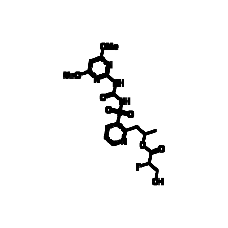 COc1cc(OC)nc(NC(=O)NS(=O)(=O)c2cccnc2CC(C)OC(=O)C(F)CO)n1